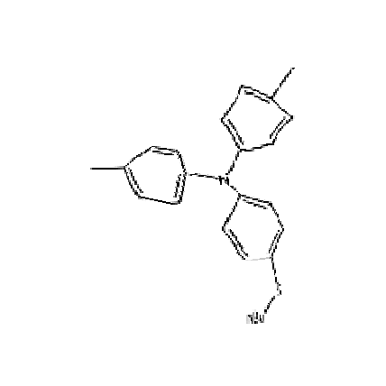 CCCCSc1ccc(N(c2ccc(C)cc2)c2ccc(C)cc2)cc1